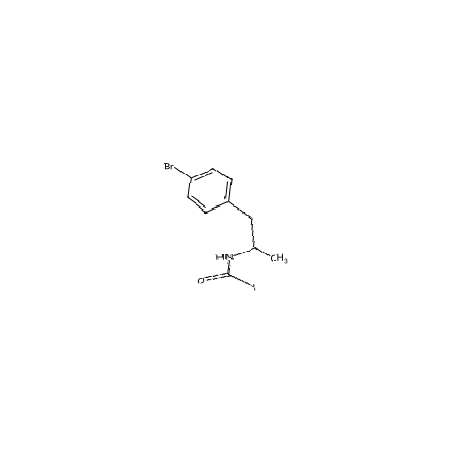 CC(Cc1ccc(Br)cc1)NC(=O)I